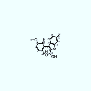 COc1ccc(F)c(-c2c(C(O)O)sc3cc(F)ccc23)c1F